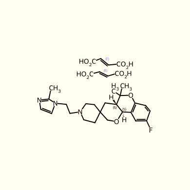 Cc1nccn1CCN1CCC2(CC1)CO[C@@H]1c3cc(F)ccc3OC(C)(C)[C@H]1C2.O=C(O)/C=C/C(=O)O.O=C(O)/C=C/C(=O)O